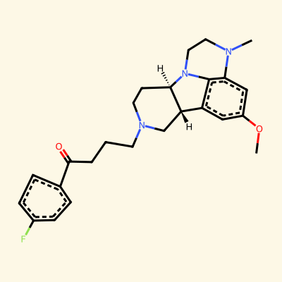 COc1cc2c3c(c1)N(C)CCN3[C@@H]1CCN(CCCC(=O)c3ccc(F)cc3)C[C@@H]21